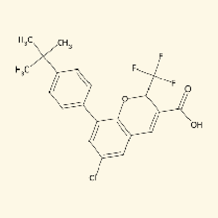 CC(C)(C)c1ccc(-c2cc(Cl)cc3c2OC(C(F)(F)F)C(C(=O)O)=C3)cc1